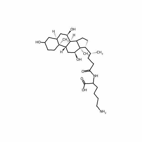 C[C@H](CCC(=O)NC(CCCCN)C(=O)O)[C@H]1CCC2[C@@H]3[C@H](O)C[C@@H]4CC(O)CC[C@]4(C)[C@H]3C[C@H](O)[C@@]21C